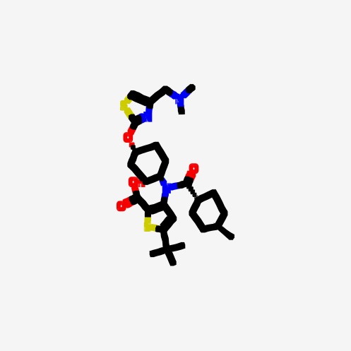 CN(C)Cc1csc(O[C@H]2CC[C@H](N(c3cc(C(C)(C)C)sc3C(=O)O)C(=O)[C@H]3CC[C@H](C)CC3)CC2)n1